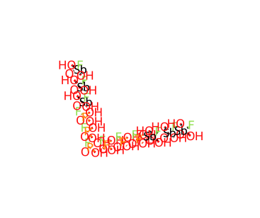 O=P(O)(O)F.O=P(O)(O)F.O=P(O)(O)F.O=P(O)(O)F.O=P(O)(O)F.O=P(O)(O)F.[O]=[Sb]([OH])([OH])[F].[O]=[Sb]([OH])([OH])[F].[O]=[Sb]([OH])([OH])[F].[O]=[Sb]([OH])([OH])[F].[O]=[Sb]([OH])([OH])[F].[O]=[Sb]([OH])([OH])[F]